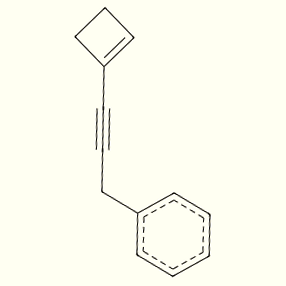 C(#CC1=CCC1)Cc1ccccc1